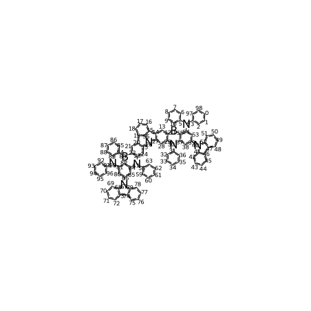 c1ccc(N2c3ccccc3B3c4cc5c6cccc7c8cc9c(cc8n(c5cc4N(c4ccccc4)c4cc(-n5c8ccccc8c8ccccc85)cc2c43)c67)N(c2ccccc2)c2cc(-n3c4ccccc4c4ccccc43)cc3c2B9c2ccccc2N3c2ccccc2)cc1